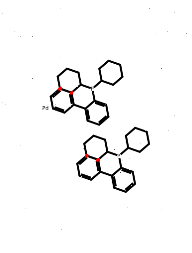 [Pd].c1ccc(-c2ccccc2P(C2CCCCC2)C2CCCCC2)cc1.c1ccc(-c2ccccc2P(C2CCCCC2)C2CCCCC2)cc1